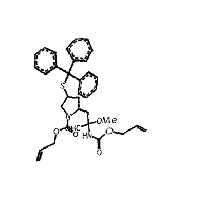 C=CCOC(=O)NC(C=O)(CC1CC(SC(c2ccccc2)(c2ccccc2)c2ccccc2)CN1C(=O)OCC=C)OC